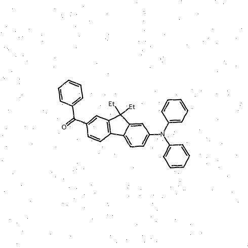 CCC1(CC)c2cc(C(=O)c3ccccc3)ccc2-c2ccc(N(c3ccccc3)c3ccccc3)cc21